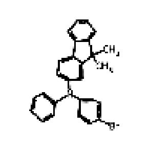 CC1(C)c2ccccc2-c2ccc(N(c3ccccc3)c3ccc(Br)cc3)cc21